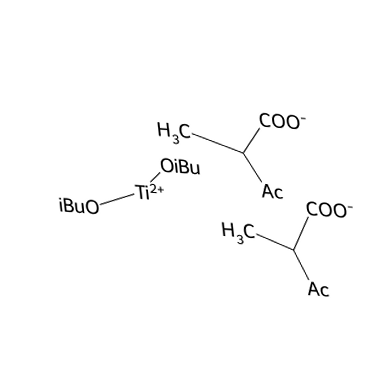 CC(=O)C(C)C(=O)[O-].CC(=O)C(C)C(=O)[O-].CC(C)C[O][Ti+2][O]CC(C)C